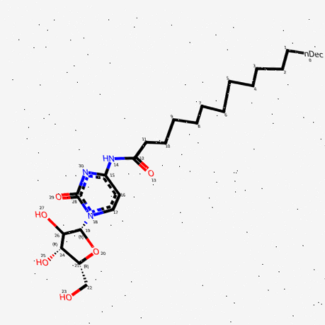 CCCCCCCCCCCCCCCCCCCCCC(=O)Nc1ccn([C@@H]2O[C@H](CO)[C@H](O)C2O)c(=O)n1